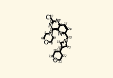 Clc1nc(N2CCOCC2)c2nc(CN3CC(C4CCOCC4)C3)ccc2n1